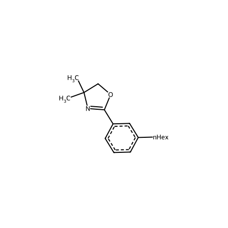 CCCCCCc1cccc(C2=NC(C)(C)CO2)c1